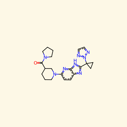 O=C(C1CCCN(c2ccc3nc(C4(n5nccn5)CC4)[nH]c3n2)C1)N1CCCC1